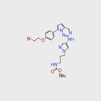 CC(C)(C)OC(=O)NCCCn1cc(Nc2ncc3ccc(-c4ccc(OCCBr)cc4)n3n2)cn1